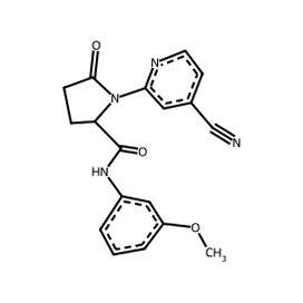 COc1cccc(NC(=O)C2CCC(=O)N2c2cc(C#N)ccn2)c1